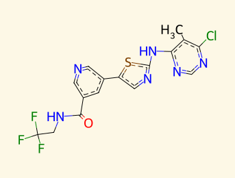 Cc1c(Cl)ncnc1Nc1ncc(-c2cncc(C(=O)NCC(F)(F)F)c2)s1